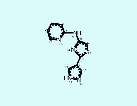 c1ccc(Nc2csc(-c3cn[nH]c3)n2)nc1